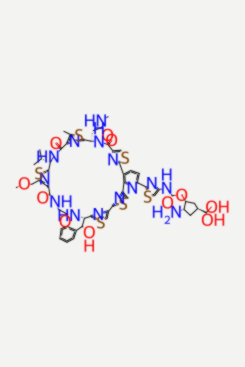 CNC(=O)C[C@@H]1NC(=O)c2csc(n2)-c2ccc(-c3nc(NC(=O)O[C@H]4C[C@@H](C(O)O)C[C@@H]4N)cs3)nc2-c2csc(n2)-c2csc(n2)[C@H]([C@@H](O)c2ccccc2)NC(=O)CNC(=O)c2nc(sc2COC)[C@H](C(C)C)NC(=O)c2nc1sc2C